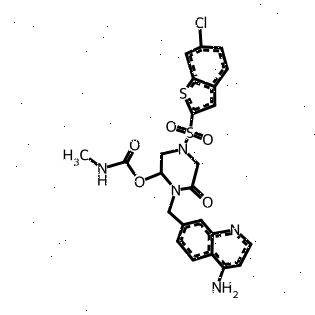 CNC(=O)OC1CN(S(=O)(=O)c2cc3ccc(Cl)cc3s2)CC(=O)N1Cc1ccc2c(N)ccnc2c1